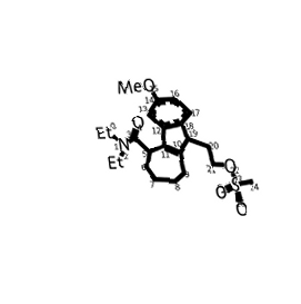 CCN(CC)C(=O)C1CCCCC2=C1c1cc(OC)ccc1C2CCOS(C)(=O)=O